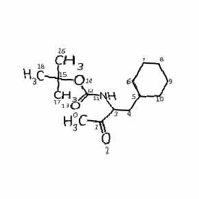 CC(=O)C(CC1CCCCC1)NC(=O)OC(C)(C)C